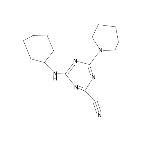 N#Cc1nc(NC2CCCCC2)nc(N2CCCCC2)n1